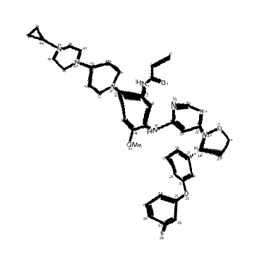 C=CC(=O)Nc1cc(Nc2cc(N3OCC[C@@H]3c3cccc(Oc4cccc(F)c4)c3)ncn2)c(OC)cc1N1CCC(N2CCN(C3CC3)CC2)CC1